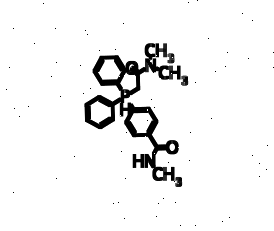 CNC(=O)c1ccc([PH](CC(=O)N(C)C)(c2ccccc2)c2ccccc2)cc1